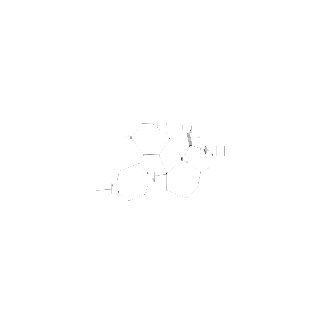 CN1CCN(C2(C3CCCOC3)CCCCC2(C)C(N)=O)CC1